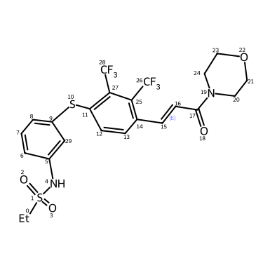 CCS(=O)(=O)Nc1cccc(Sc2ccc(/C=C/C(=O)N3CCOCC3)c(C(F)(F)F)c2C(F)(F)F)c1